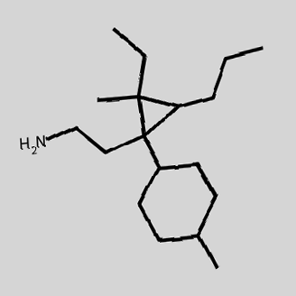 CCCC1C(C)(CC)C1(CCN)C1CCC(C)CC1